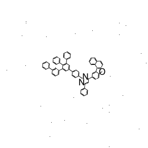 c1ccc(-c2cccc(-c3cc(-c4ccc(-c5nc(-c6ccccc6)cc(-c6ccc7oc8ccc9ccccc9c8c7c6)n5)cc4)cc(-c4ccccc4)c3-c3ccccc3)c2)cc1